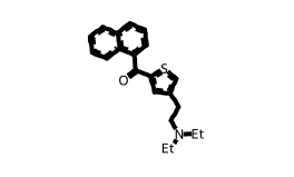 CCN(CC)CCc1csc(C(=O)c2cccc3ccccc23)c1